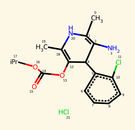 CC1=C(N)C(c2ccccc2Cl)C(OC(=O)OC(C)C)=C(C)N1.Cl